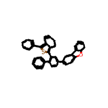 c1cccc(-c2ccc(-c3ccc4oc5ccccc5c4c3)cc2-c2sc(-c3ccccc3)c3c2CCC=C3)c#1